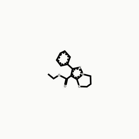 CCOC(=O)c1c(-c2ccccc2)nn2c1OCCC2